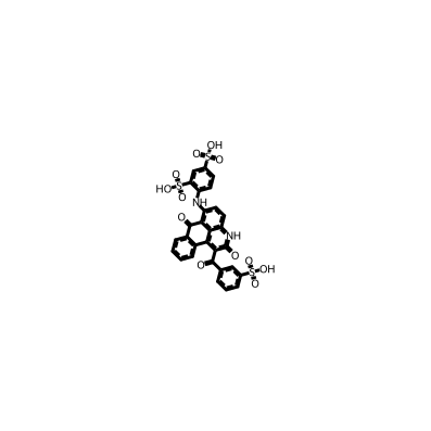 O=C(c1cccc(S(=O)(=O)O)c1)c1c2c3c(c(Nc4ccc(S(=O)(=O)O)cc4S(=O)(=O)O)ccc3[nH]c1=O)C(=O)c1ccccc1-2